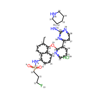 Cc1ccc2c(NS(=O)(=O)CCCF)cccc2c1Oc1ncccc1-c1ccnc(N[C@H]2CCCNC2)n1.Cl